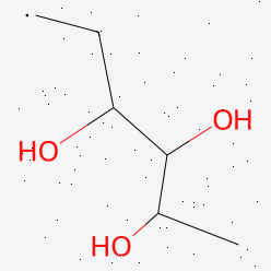 [CH2]CC(O)C(O)C(C)O